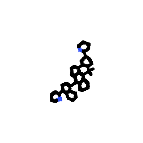 CC1(C)c2ccc(-c3ccccn3)cc2-c2cccc3c(-c4ccc(-c5ccccn5)c5ccccc45)c4ccccc4c1c23